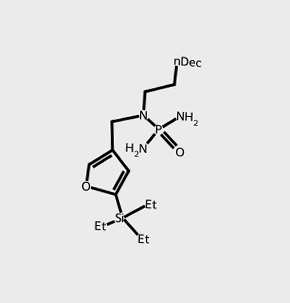 CCCCCCCCCCCCN(Cc1coc([Si](CC)(CC)CC)c1)P(N)(N)=O